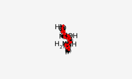 CNS(=O)(=O)N1CCN([C@@H](C)Cn2c(C#N)cc3cc(CN4CCC(Nc5nc(N)nc6sc(CC(F)(F)F)cc56)CC4)c(O)cc32)CC1